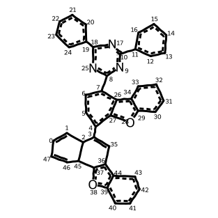 C1=CC2C(c3ccc(-c4nc(-c5ccccc5)nc(-c5ccccc5)n4)c4c3oc3ccccc34)=Cc3c(oc4ccccc34)C2C=C1